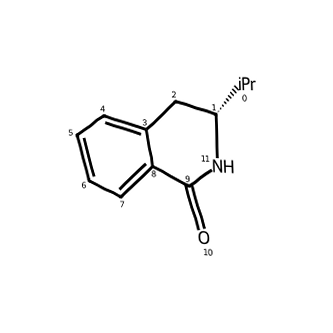 CC(C)[C@H]1Cc2ccccc2C(=O)N1